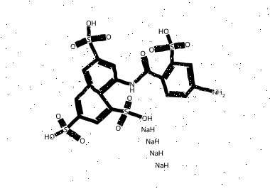 Nc1ccc(C(=O)Nc2cc(S(=O)(=O)O)cc3cc(S(=O)(=O)O)cc(S(=O)(=O)O)c23)c(S(=O)(=O)O)c1.[NaH].[NaH].[NaH].[NaH]